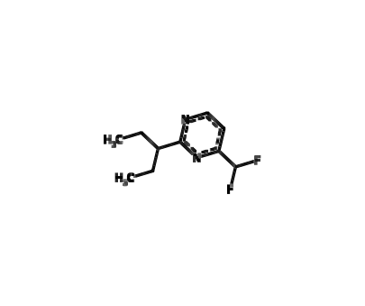 CCC(CC)c1nccc(C(F)F)n1